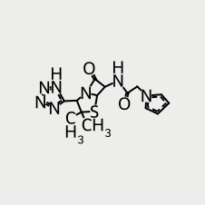 CC1(C)SC2C(NC(=O)Cn3cccc3)C(=O)N2C1c1nnn[nH]1